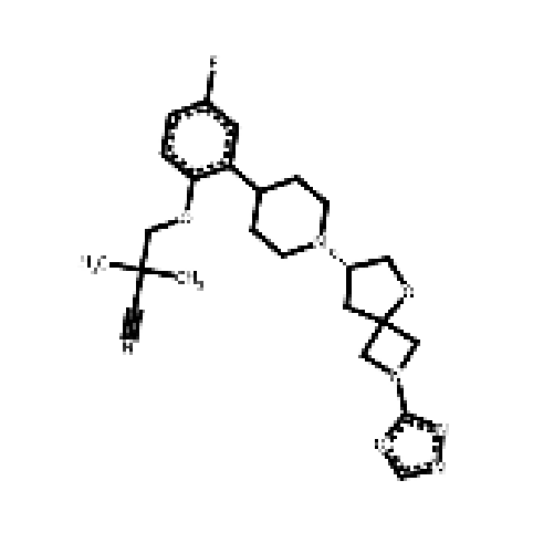 CC(C)(C#N)COc1ccc(F)cc1C1CCN([C@@H]2COC3(C2)CN(c2nnco2)C3)CC1